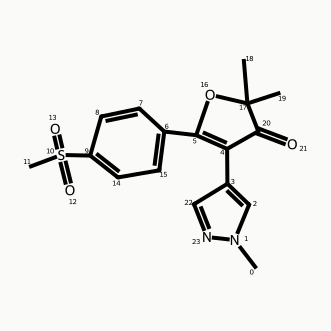 Cn1cc(C2=C(c3ccc(S(C)(=O)=O)cc3)OC(C)(C)C2=O)cn1